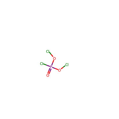 O=P(Cl)(OCl)OCl